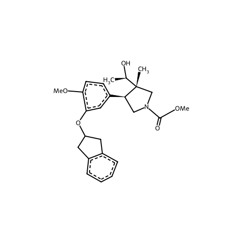 COC(=O)N1C[C@@H](c2ccc(OC)c(OC3Cc4ccccc4C3)c2)[C@](C)([C@@H](C)O)C1